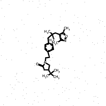 Cc1noc(C)c1CC(C)(C)Cc1ccc(CCN2CC(C(C)(C)C)CC2=O)cc1